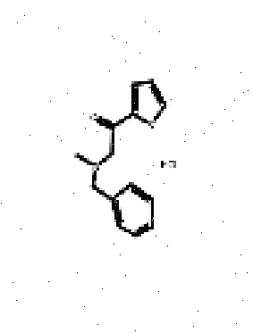 CN(CC(=O)c1cccs1)Cc1ccccc1.Cl